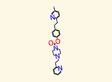 Cc1ccc(CCc2ccc(OC(=O)N3CCN(CCc4ccccn4)CC3)cc2)nc1